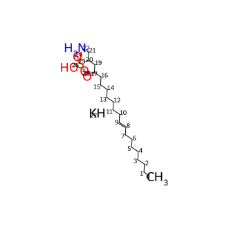 CCCCCCCCC=CCCCCCCCC(=O)CC(CN)S(=O)(=O)O.[KH]